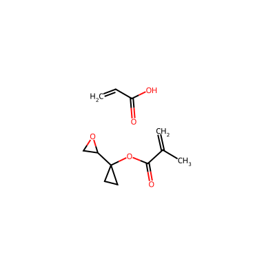 C=C(C)C(=O)OC1(C2CO2)CC1.C=CC(=O)O